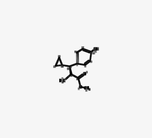 COC(=O)C(C)[C@H](c1ccc(O)cc1)C1CC1